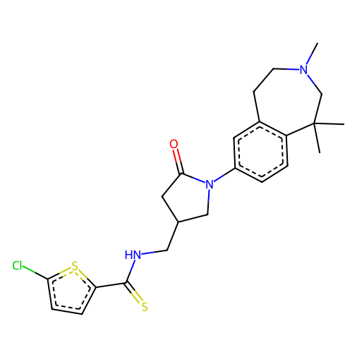 CN1CCc2cc(N3CC(CNC(=S)c4ccc(Cl)s4)CC3=O)ccc2C(C)(C)C1